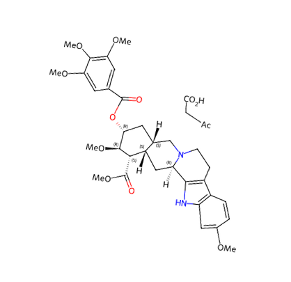 CC(=O)CC(=O)O.COC(=O)[C@H]1[C@H]2C[C@@H]3c4[nH]c5cc(OC)ccc5c4CCN3C[C@H]2C[C@@H](OC(=O)c2cc(OC)c(OC)c(OC)c2)[C@@H]1OC